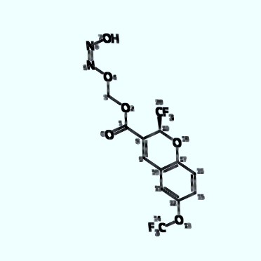 O=C(OCO/N=N\O)C1=Cc2cc(OC(F)(F)F)ccc2O[C@@H]1C(F)(F)F